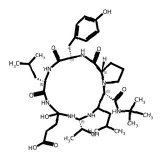 CC(C)CC1N[C@H](C(C)O)NC(O)(CCC(=O)O)NC(=O)[C@H](CC(C)C)NC(=O)[C@H](Cc2ccc(O)cc2)NC(=O)[C@@H]2CCCN2[C@@H]1C(=O)NC(C)(C)C